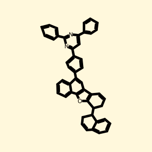 C1=Cc2ccccc2C(C2CC=Cc3c2oc2c3cc(-c3ccc(-c4cc(-c5ccccc5)nc(-c5ccccc5)n4)cc3)c3ccccc32)C1